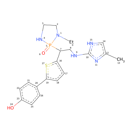 CCN1CCNP1(=O)C(CNc1nc(C)c[nH]1)c1ccc(-c2ccc(O)cc2)s1